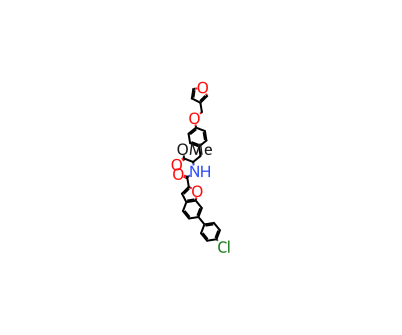 COC(=O)C(Cc1ccc(OCc2ccoc2)cc1)NC(=O)c1cc2ccc(-c3ccc(Cl)cc3)cc2o1